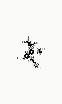 COc1cc(C)c(-c2cccc(S(=O)(=O)c3cc(C(=N)N)sc3SC)c2)c(NC(=O)CCCS(C)(=O)=O)c1.O=C(O)C(F)(F)F